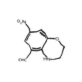 O=Cc1cc([N+](=O)[O-])cc2c1NCCO2